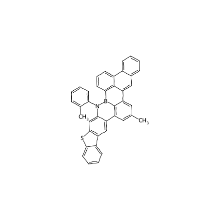 Cc1cc2c3c(c1)-c1cc4ccccc4c4cccc(c14)B3N(c1ccccc1C)c1cc3sc4ccccc4c3cc1-2